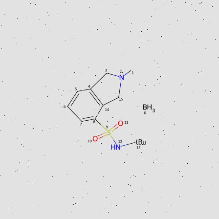 B.CN1Cc2cccc(S(=O)(=O)NC(C)(C)C)c2C1